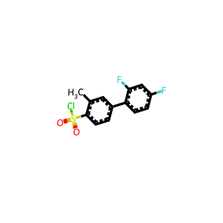 Cc1cc(-c2ccc(F)cc2F)ccc1S(=O)(=O)Cl